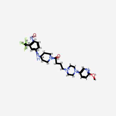 COc1ccc(N2CCN(CCCC(=O)N3CCC(Nc4ccc(N=O)c(C(F)(F)F)c4)CC3)CC2)cn1